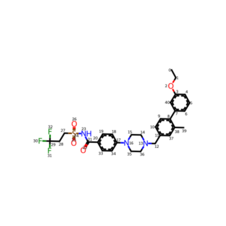 CCOc1cccc(-c2ccc(CN3CCN(c4ccc(C(=O)NS(=O)(=O)CCC(F)(F)F)cc4)CC3)cc2C)c1